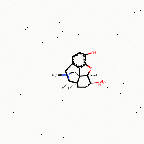 CN1CC[C@]23c4c5ccc(O)c4O[C@H]2[C@@H](O)CC[C@H]3[C@H]1C5.O